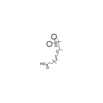 CC(CO[Si](c1ccccc1)(c1ccccc1)C(C)(C)C)OCSSC(C)(C)CCC(=O)O